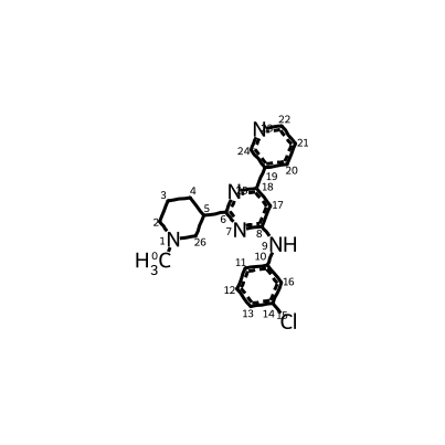 CN1CCCC(c2nc(Nc3cccc(Cl)c3)cc(-c3cccnc3)n2)C1